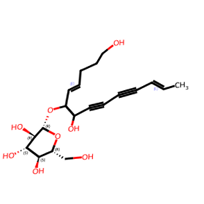 C/C=C/C#CC#CC(O)C(/C=C/CCCO)O[C@@H]1O[C@H](CO)[C@@H](O)[C@H](O)[C@H]1O